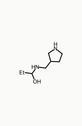 CCC(O)NCC1CCNC1